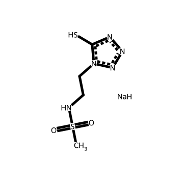 CS(=O)(=O)NCCn1nnnc1S.[NaH]